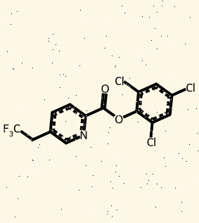 O=C(Oc1c(Cl)cc(Cl)cc1Cl)c1ccc(CC(F)(F)F)cn1